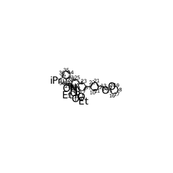 CCOP(=O)(OCC)c1cc(-c2ccc(COC3CCCCO3)cc2)cc2ccc(C(O)(CC(C)C)c3ccccc3)nc12